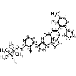 Cc1ccc(-n2cnnn2)c(C2=CC(=O)N3C(CC[C@H]3c3ncc(-c4ccnc(CO[Si](C)(C)C(C)(C)C)c4F)[nH]3)C2)c1F